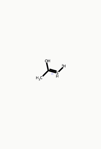 [2H]/[SH]=C(/C)O